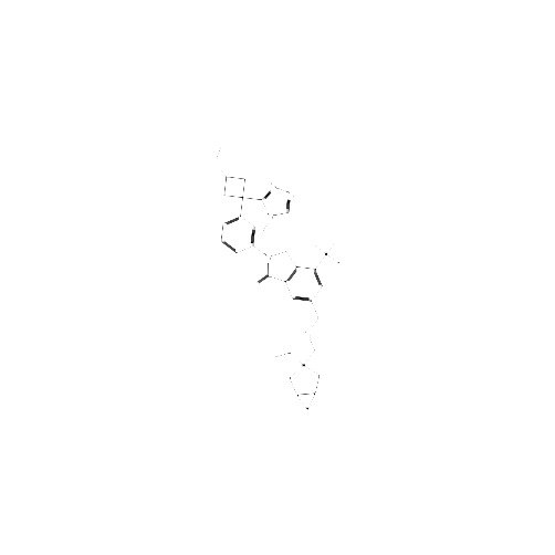 COC1CC(c2cccc(N3Cc4c(cc(CNCC5(CO)CC6CC6C5)cc4C(F)(F)F)C3=O)c2)(c2nncn2C)C1